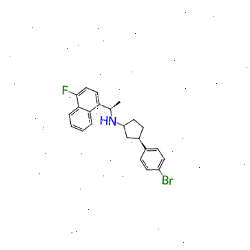 C[C@@H](NC1CC[C@@H](c2ccc(Br)cc2)C1)c1ccc(F)c2ccccc12